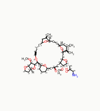 C=C1CC2CCC#COC(C3O[C@@H]4CCOC4C3OC)[C@@H]3CCCC(CC(=O)CC4C(C[C@H]5O[C@@H](CC[C@@H]1O2)C[C@@H](C)C5=C)O[C@H](CC(O)CN)[C@@H]4OC)O3